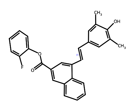 Cc1cc(/C=C/c2cc(C(=O)Oc3ccccc3F)cc3ccccc23)cc(C)c1O